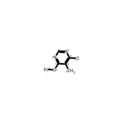 CCOc1ncnc(Cl)c1C